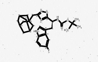 CC(C)(C)OC(=O)N[C@@H](Cc1c[nH]c2ccc(F)cc12)c1nc(CC23CC4CC(CC(C4)C2)C3)no1